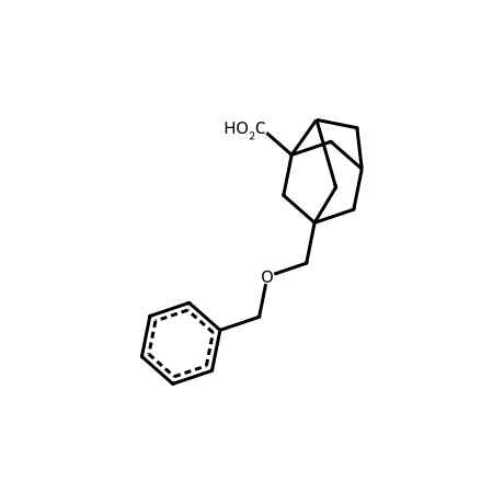 O=C(O)C12CC3CC1CC(COCc1ccccc1)(C3)C2